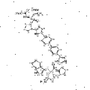 COC(=O)N[C@H](C(=O)N1CCCC1c1ncc(-c2ccc(-c3ccc(-c4cnc([C@@H]5CCCN5C(=O)[C@](C)(Cc5c[nH]c6ccccc56)OC(N)=O)[nH]4)cc3)cc2)[nH]1)[C@@H](C)OC